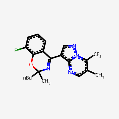 CCCCC1(C)N=C(c2cnn3c(C(F)(F)F)c(C)cnc23)c2cccc(F)c2O1